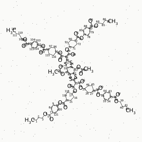 CCCCOC(=O)c1ccc(OC(=O)C2CCC(OC(=O)C(C(=O)OC3CCC(C(=O)Oc4ccc(C(=O)OCCCC)cc4)CC3)=C3Sc4c(OC(C)=O)c5c(c(OC(C)=O)c4S3)SC(=C(C(=O)OC3CCC(C(=O)Oc4ccc(C(=O)OCCCC)cc4)CC3)C(=O)OC3CCC(C(=O)Oc4ccc(C(=O)OCCCC)cc4)CC3)S5)CC2)cc1